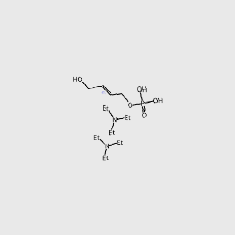 CCN(CC)CC.CCN(CC)CC.O=P(O)(O)OC/C=C/CO